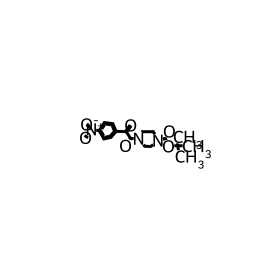 CC(C)(C)OC(=O)N1CCN(C(=O)C(=O)c2ccc([N+](=O)[O-])cc2)CC1